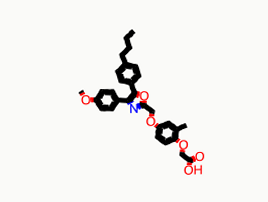 CCCCc1ccc(-c2oc(COc3ccc(OCC(=O)O)c(C)c3)nc2-c2ccc(OC)cc2)cc1